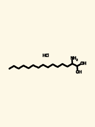 CCCCCCCCCCCCCC(N)C(O)O.Cl